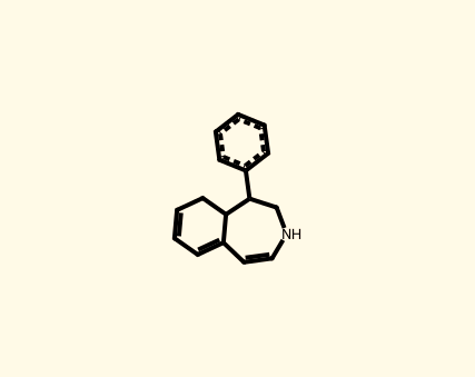 C1=CCC2C(=C1)C=CNCC2c1ccccc1